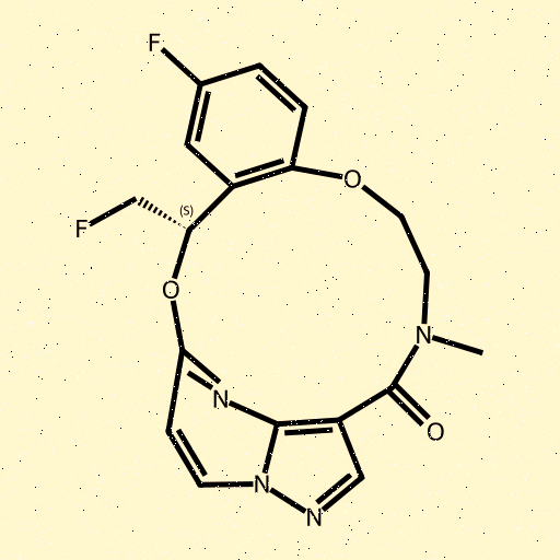 CN1CCOc2ccc(F)cc2[C@@H](CF)Oc2ccn3ncc(c3n2)C1=O